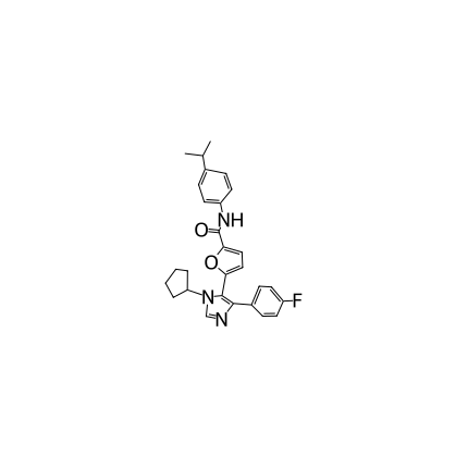 CC(C)c1ccc(NC(=O)c2ccc(-c3c(-c4ccc(F)cc4)ncn3C3CCCC3)o2)cc1